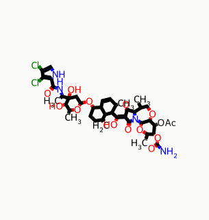 C=C1CCC(OC2CC(O)(C(C)NC(=O)c3[nH]cc(Cl)c3Cl)C(O)C(C)O2)C2C=CC(C)C(/C(O)=C3\C(=O)C4C(C)COC5C(OC(C)=O)C(OC(N)=O)C(C)OC5N4C3=O)C12